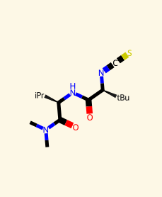 CC(C)[C@@H](NC(=O)[C@@H](N=C=S)C(C)(C)C)C(=O)N(C)C